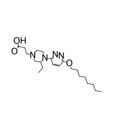 CCCCCCCCOc1ccc(N2CCN(CCC(=O)O)CC2CC)nn1